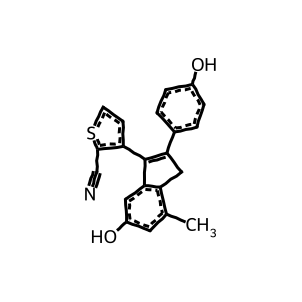 Cc1cc(O)cc2c1CC(c1ccc(O)cc1)=C2c1ccsc1C#N